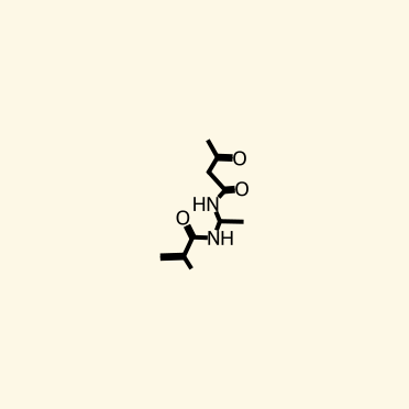 C=C(C)C(=O)NC(C)NC(=O)CC(C)=O